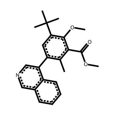 COC(=O)c1c(C)c(-c2cncc3ccccc23)cc(C(C)(C)C)c1OC